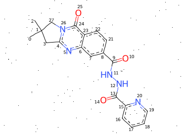 CC1(C)Cc2nc3cc(C(=O)NNC(=O)c4ccccn4)ccc3c(=O)n2C1